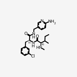 CCC(C)[C@@H](NC)C(=O)N[C@@H](Cc1cccc(Cl)c1)C(=O)NCc1ccc(N)nc1